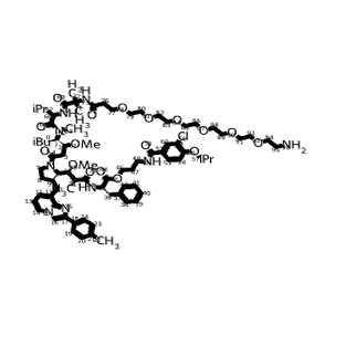 CC[C@H](C)[C@@H](C(CC(=O)N1CCC(Cc2cccn3cc(-c4ccc(C)cc4)nc23)[C@H]1[C@H](OC)[C@@H](C)C(=O)N[C@@H](Cc1ccccc1)C(=O)OCCCNC(=O)c1ccc(OC(C)C)c(Cl)c1)OC)N(C)C(=O)C(NC(=O)C(C)(C)NC(=O)CCOCCOCCOCCOCCOCCOCCN)C(C)C